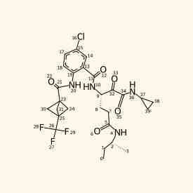 CC[C@@H](C)NC(=O)CC[C@H](NC(=O)c1cc(Cl)ccc1NC(=O)C12CC(C(F)(F)F)(C1)C2)C(=O)C(=O)NC1CC1